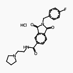 Cl.O=C(NCCN1CCCC1)c1ccc2c(c1)C(=O)N(Cc1ccc(F)cc1)C2=O